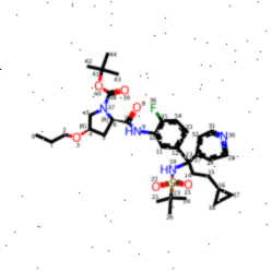 CCCO[C@@H]1C[C@H](C(=O)Nc2cc(C(CCC3CC3)(NS(=O)(=O)C(C)(C)C)c3ccncc3)ccc2F)N(C(=O)OC(C)(C)C)C1